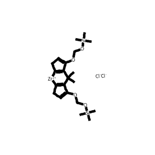 CC1(C)C2=[C](CC=C2OCO[Si](C)(C)C)[Zr+2][C]2=C1C(OCO[Si](C)(C)C)=CC2.[Cl-].[Cl-]